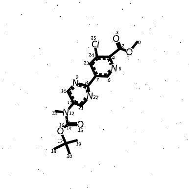 COC(=O)c1ncc(-c2ncc(N(C)C(=O)OC(C)(C)C)cn2)cc1Cl